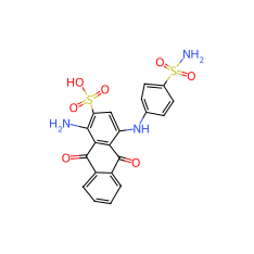 Nc1c(S(=O)(=O)O)cc(Nc2ccc(S(N)(=O)=O)cc2)c2c1C(=O)c1ccccc1C2=O